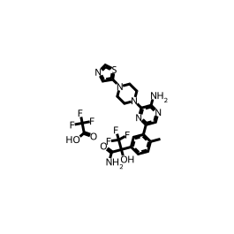 Cc1ccc(C(O)(C(N)=O)C(F)(F)F)cc1-c1cnc(N)c(N2CCN(c3cncs3)CC2)n1.O=C(O)C(F)(F)F